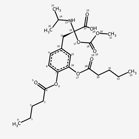 CCCCC(=O)Oc1ccc(C[C@](NC(C)C)(OC(=O)OC)C(=O)O)cc1OC(=O)CCCC